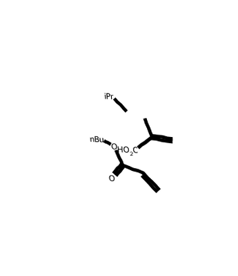 C=C(C)C(=O)O.C=CC(=O)OCCCC.CC(C)C